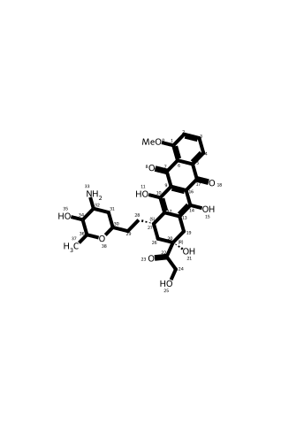 COc1cccc2c1C(=O)c1c(O)c3c(c(O)c1C2=O)C[C@@](O)(C(=O)CO)C[C@@H]3CCC1CC(N)C(O)C(C)O1